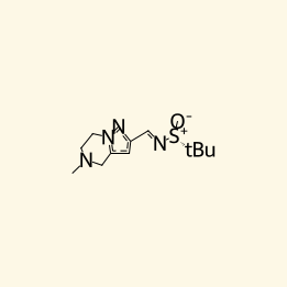 CN1CCn2nc(/C=N/[S@+]([O-])C(C)(C)C)cc2C1